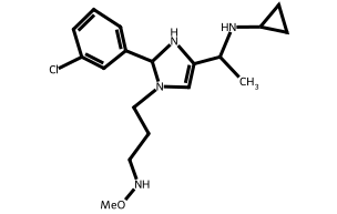 CONCCCN1C=C(C(C)NC2CC2)NC1c1cccc(Cl)c1